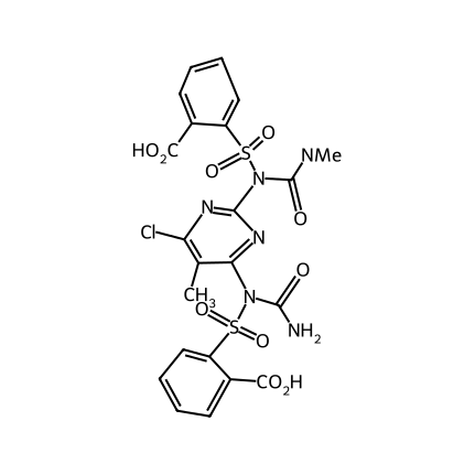 CNC(=O)N(c1nc(Cl)c(C)c(N(C(N)=O)S(=O)(=O)c2ccccc2C(=O)O)n1)S(=O)(=O)c1ccccc1C(=O)O